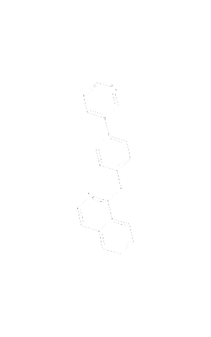 c1cncc(-c2ccc(Cc3nccc4ccccc34)cc2)c1